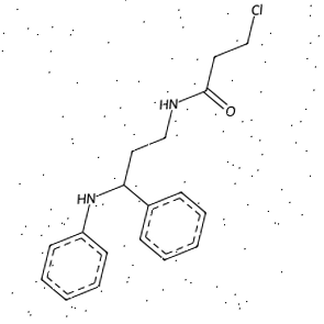 O=C(CCCl)NCCC(Nc1ccccc1)c1ccccc1